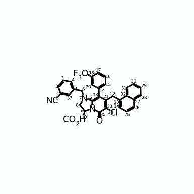 N#Cc1cccc(CN2CC(C(=O)O)n3c2c(-c2cccc(C(F)(F)F)c2)c(Cc2cccc4ccccc24)c(Cl)c3=O)c1